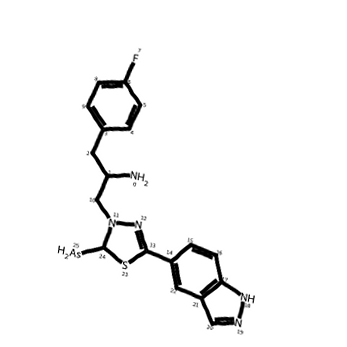 NC(Cc1ccc(F)cc1)CN1N=C(c2ccc3[nH]ncc3c2)SC1[AsH2]